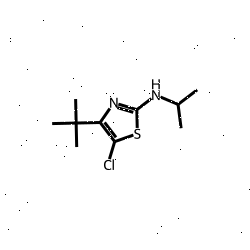 CC(C)Nc1nc(C(C)(C)C)c(Cl)s1